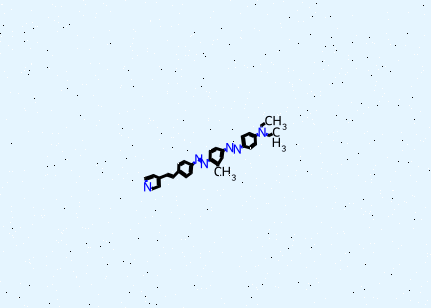 CCN(CC)c1ccc(N=Nc2ccc(N=Nc3ccc(C=Cc4ccncc4)cc3)c(C)c2)cc1